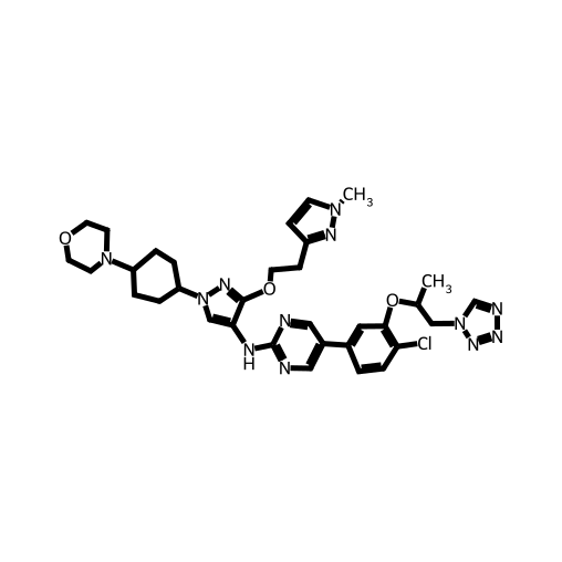 CC(Cn1cnnn1)Oc1cc(-c2cnc(Nc3cn(C4CCC(N5CCOCC5)CC4)nc3OCCc3ccn(C)n3)nc2)ccc1Cl